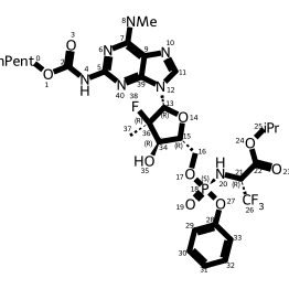 CCCCCOC(=O)Nc1nc(NC)c2ncn([C@@H]3O[C@H](CO[P@@](=O)(N[C@H](C(=O)OC(C)C)C(F)(F)F)Oc4ccccc4)[C@@H](O)[C@@]3(C)F)c2n1